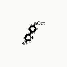 CCCCCCCCc1ccc(-c2ccc(Br)cn2)cc1